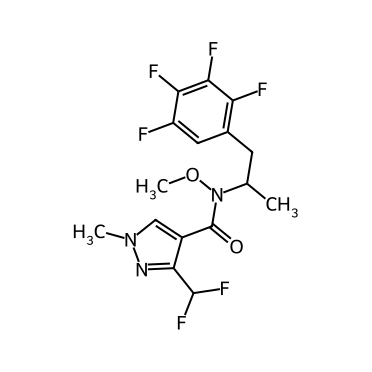 CON(C(=O)c1cn(C)nc1C(F)F)C(C)Cc1cc(F)c(F)c(F)c1F